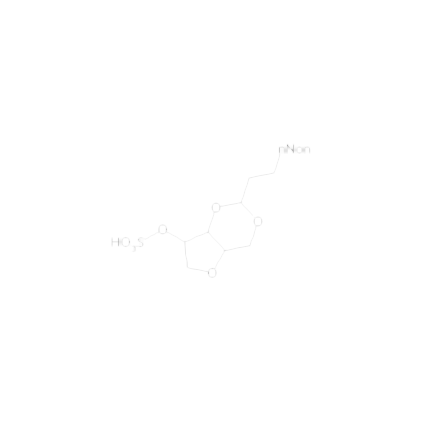 CCCCCCCCCCCC1OCC2OCC(OS(=O)(=O)O)C2O1